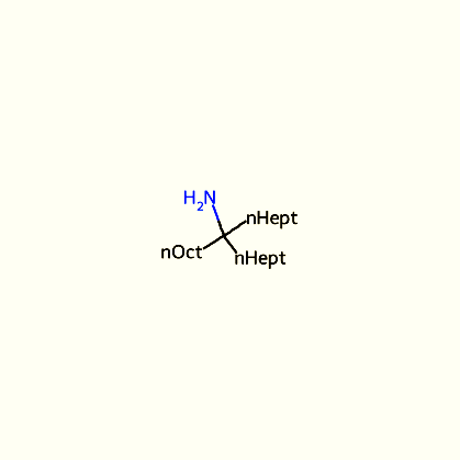 CCCCCCCCC(N)(CCCCCCC)CCCCCCC